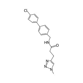 Cn1cc(CCC(=O)NCc2ccc(-c3ccc(Cl)cc3)cc2)nn1